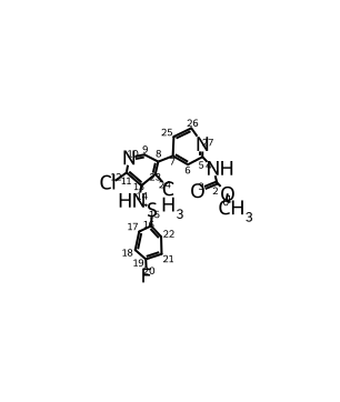 COC(=O)Nc1cc(-c2cnc(Cl)c(NSc3ccc(F)cc3)c2C)ccn1